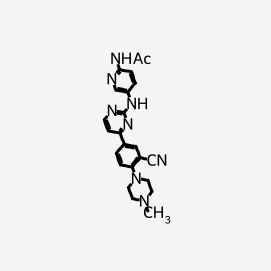 CC(=O)Nc1ccc(Nc2nccc(-c3ccc(N4CCN(C)CC4)c(C#N)c3)n2)cn1